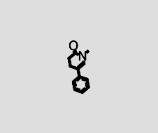 CN1C=C(c2ccccc2)CCC1=O